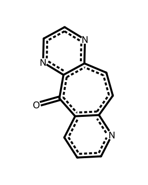 O=c1c2cccnc2ccc2nccnc12